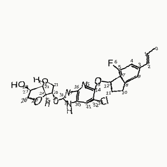 C/C=C/c1cc(F)c2c(c1)CCC2Oc1nc2nc(O[C@@H]3CO[C@H]4[C@@H]3OC[C@H]4O)[nH]c2cc1Cl